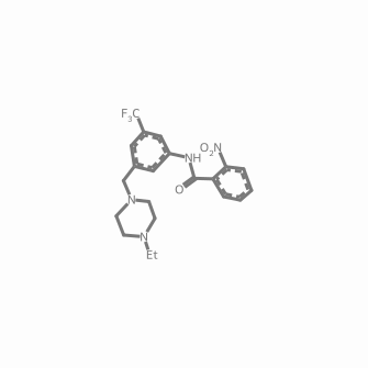 CCN1CCN(Cc2cc(NC(=O)c3ccccc3[N+](=O)[O-])cc(C(F)(F)F)c2)CC1